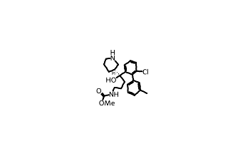 COC(=O)NCCCC(O)(c1cccc(Cl)c1-c1cccc(C)c1)[C@@H]1CCCNC1